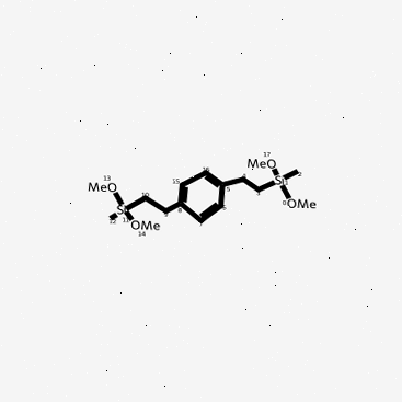 CO[Si](C)(CCc1ccc(CC[Si](C)(OC)OC)cc1)OC